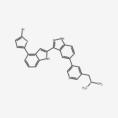 CC(=O)c1ccc(-c2cccc3[nH]c(-c4n[nH]c5ccc(-c6cncc(CN(C)C)c6)cc45)cc23)s1